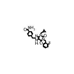 NC(=O)c1ccc(Cc2nc3c([nH]2)c(=O)n(Cc2ccccc2F)c(=O)n3CC2CC2)cc1